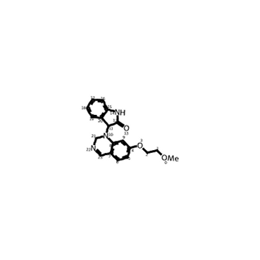 COCCOc1ccc2c(c1)N(C1C(=O)Nc3ccccc31)CN=C2